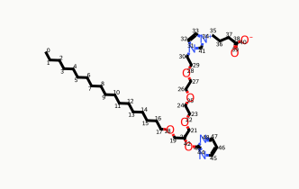 CCCCCCCCCCCCCCCCCCOCC(COCCOCCOCCN1C=C[N+](=CCCC(=O)[O-])C1)Oc1ncccn1